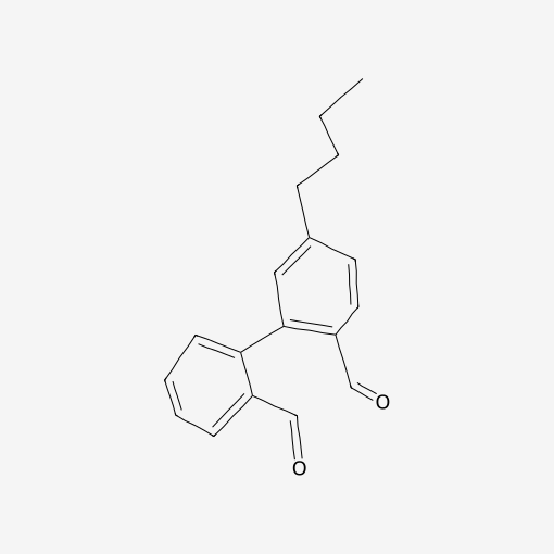 CCCCc1ccc(C=O)c(-c2ccccc2C=O)c1